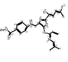 C=C/C(=N\C=C(C)C)Sc1oc(/C(=C/C=C(\C)F)CC)nc1CNc1ccc(C(=O)OC)cc1